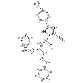 C#Cc1oc(-c2ccc(C(F)(F)F)cc2)nc1C(=O)NC(CSCc1ccccc1)C(=O)O.c1cc2cc-2c1